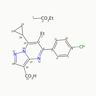 CCOC(C)=O.CCc1c(-c2ccc(Cl)cc2)nc2c(C(=O)O)cnn2c1C1CC1